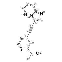 CC(=O)c1cccc(C#Cc2cnc3cccnn23)c1